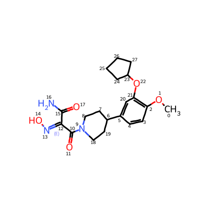 COc1ccc(C2CCN(C(=O)/C(=N/O)C(N)=O)CC2)cc1OC1CCCC1